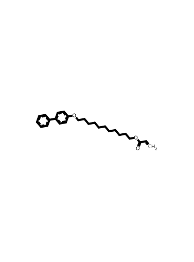 C=CC(=O)OCCCCCCCCCCCOc1ccc(-c2ccccc2)cc1